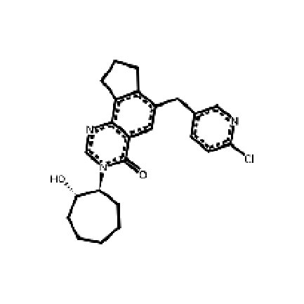 O=c1c2cc(Cc3ccc(Cl)nc3)c3c(c2ncn1[C@H]1CCCCC[C@@H]1O)CCC3